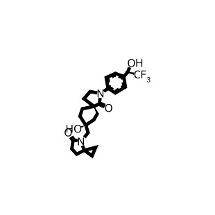 O=C1CCC2(CC2)N1C[C@]1(O)CC[C@]2(CCN(c3ccc([C@@H](O)C(F)(F)F)cc3)C2=O)CC1